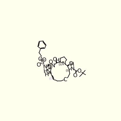 CC(C)(C)OC(=O)N[C@H]1CCCCC/C=C\[C@@H]2C[C@@]2(C(=O)NS(=O)(=O)OCCc2ccccc2)NC(=O)[C@@H]2CCCN2C1=O